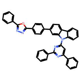 c1ccc(-c2cc(-n3c4ccccc4c4ccc(-c5ccc(-c6nnc(-c7ccccc7)o6)cc5)cc43)nc(-c3ccccc3)n2)cc1